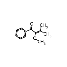 COC(C(=O)c1ccccc1)=C(C)C